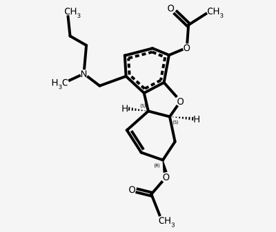 CCCN(C)Cc1ccc(OC(C)=O)c2c1[C@@H]1C=C[C@H](OC(C)=O)C[C@@H]1O2